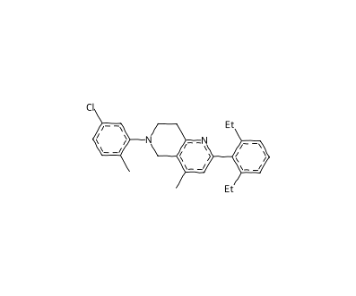 CCc1cccc(CC)c1-c1cc(C)c2c(n1)CCN(c1cc(Cl)ccc1C)C2